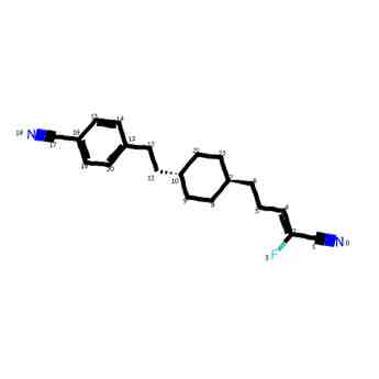 N#C/C(F)=C/CC[C@H]1CC[C@H](CCc2ccc(C#N)cc2)CC1